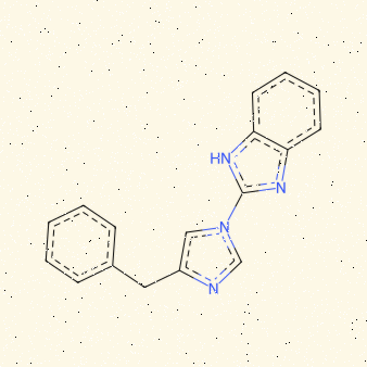 c1ccc(Cc2cn(-c3nc4ccccc4[nH]3)cn2)cc1